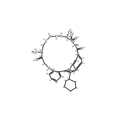 CC(C)n1c2c(C3CCCCC3)c3ccc(cc31)C(=O)NS(=O)(=O)N(C)CCOCCN(C)C(=O)COc1ccccc1-2